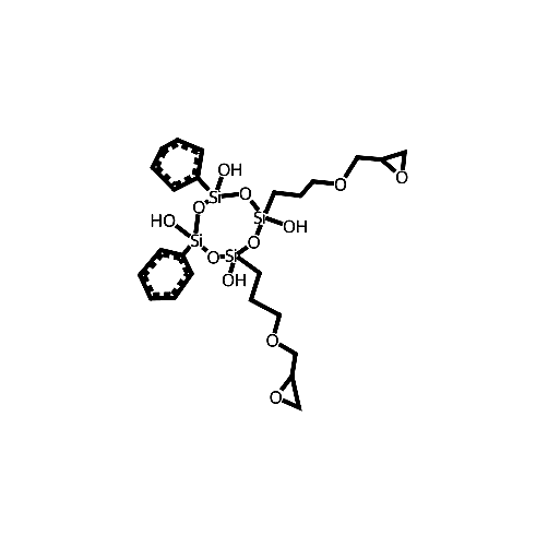 O[Si]1(CCCOCC2CO2)O[Si](O)(CCCOCC2CO2)O[Si](O)(c2ccccc2)O[Si](O)(c2ccccc2)O1